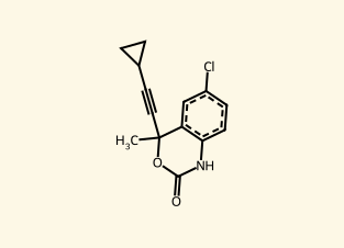 CC1(C#CC2CC2)OC(=O)Nc2ccc(Cl)cc21